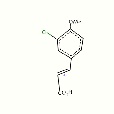 COc1ccc(/C=C/C(=O)O)cc1Cl